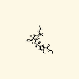 CCOC(=O)c1c(F)c(S(=O)(=O)N[C@@H]2CN(C(=O)OCC)C[C@]2(C)CO)cn1C